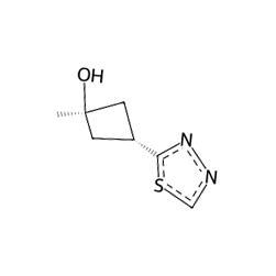 C[C@]1(O)C[C@H](c2nncs2)C1